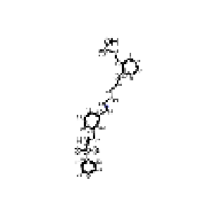 O=C(O)CCc1ccccc1OCCC/C=C/c1cccc(CNS(=O)(=O)c2ccccc2)c1